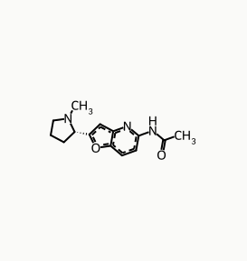 CC(=O)Nc1ccc2oc([C@@H]3CCCN3C)cc2n1